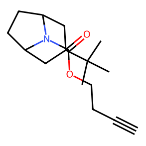 C#CCCOC(=O)N1C2CCC1CC(C(C)(C)C)C2